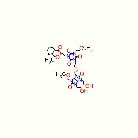 COCCn1c(=O)n(CCOCN2C(=O)N(CCO)C3C2N(COC)C(=O)N3CCO)c(=O)n(CCOC(=O)C2CCCCC2C(C)=O)c1=O